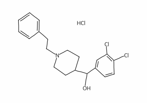 Cl.OC(c1ccc(Cl)c(Cl)c1)C1CCN(CCc2ccccc2)CC1